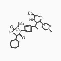 CCC(=O)NC(C(=O)N1CCN(C)CC1)C(C)c1ccc(NC(=O)C(NC(=O)OC(C)(C)C)C2CCCCCC2)cc1